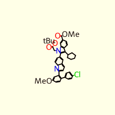 COC(=O)c1ccc2c(C3CCCCC3)c(-c3ccc4nc(-c5cc(OC)ccc5-c5ccc(Cl)cc5)ccc4c3)n(CC(=O)OC(C)(C)C)c2c1